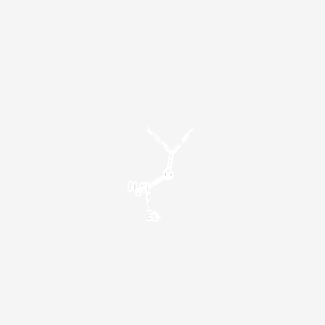 C[CH][SiH2]OC(C)C